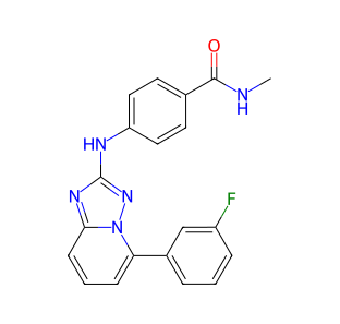 CNC(=O)c1ccc(Nc2nc3cccc(-c4cccc(F)c4)n3n2)cc1